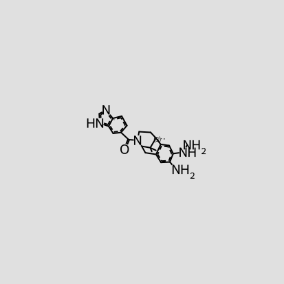 CC1(C)C2Cc3cc(N)c(NN)cc3[C@]1(C)CCN2C(=O)c1ccc2nc[nH]c2c1